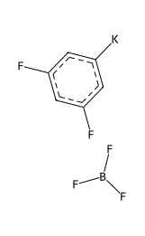 FB(F)F.Fc1cc(F)c[c]([K])c1